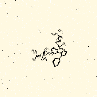 C.C.C#CC.NC(O)=S.NC(O)=S.NS(=O)(=O)c1ccccc1-n1nccc1-c1ccccc1.O